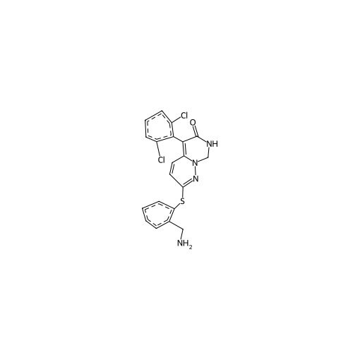 NCc1ccccc1SC1=NN2CNC(=O)C(c3c(Cl)cccc3Cl)=C2C=C1